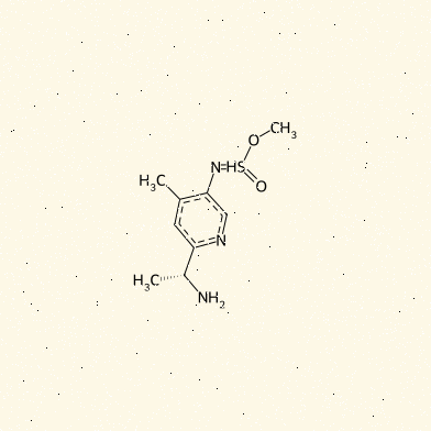 CO[SH](=O)=Nc1cnc([C@@H](C)N)cc1C